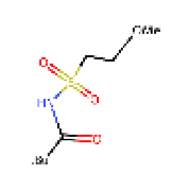 COCCS(=O)(=O)NC(=O)C(C)(C)C